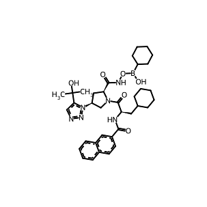 CC(C)(O)c1cnnn1[C@H]1C[C@@H](C(=O)NOB(O)C2CCCCC2)N(C(=O)[C@@H](CC2CCCCC2)NC(=O)c2ccc3ccccc3c2)C1